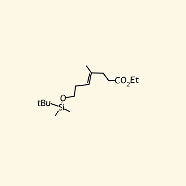 CCOC(=O)CCC(C)=CCCO[Si](C)(C)C(C)(C)C